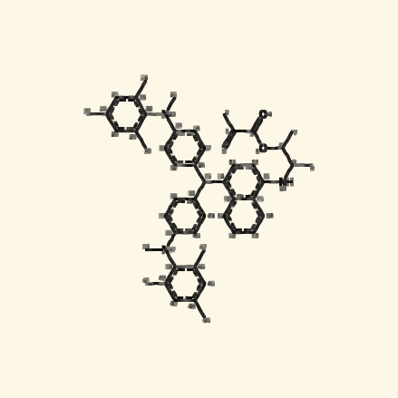 C=C(C)C(=O)OC(C)C(C)Nc1ccc(C(c2ccc(N(C)c3c(C)cc(C)cc3C)cc2)c2ccc(N(C)c3c(C)cc(C)cc3C)cc2)c2ccccc12